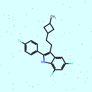 CC1CC(CCc2c(-c3ccc(F)cc3)[nH]c3c(F)cc(F)cc23)C1